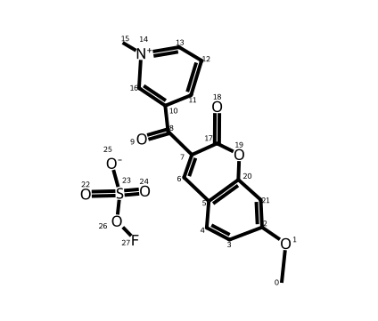 COc1ccc2cc(C(=O)c3ccc[n+](C)c3)c(=O)oc2c1.O=S(=O)([O-])OF